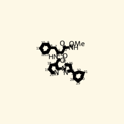 CONC(=O)C(=O)C(Cc1ccccc1)NC(=O)c1cccnc1-n1ccc(-c2ccccc2)n1